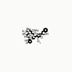 CC[C@H](C)[C@@H]([C@H](CC(=O)N1CCC[C@H]1[C@H](OC)[C@@H](C)C(=O)N[C@H](CO)Cc1ccccc1)OC)N(C)C(=O)[C@@H](NC(=O)[C@H]1N[C@@H]2CC[C@H]1C2)C(C)C